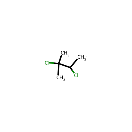 [CH2]C(Cl)C(C)(C)Cl